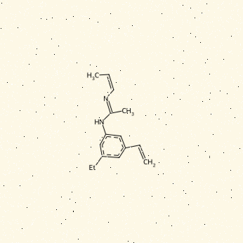 C=Cc1cc(CC)cc(N/C(C)=N/C=C\C)c1